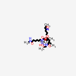 CCC(C)(CC(C)(CC(C)(C)C(=O)NCCCCCC(=O)NC)C(=O)OCCCc1cc(C)on1)C(=O)NCC(C)O